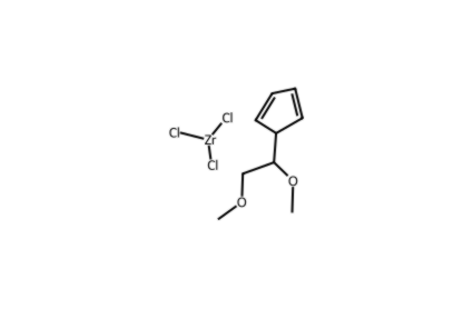 COCC(OC)C1C=CC=C1.[Cl][Zr]([Cl])[Cl]